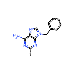 Cc1nc(N)c2ncn(Cc3ccccc3)c2n1